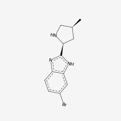 C[C@@H]1CN[C@H](c2nc3ccc(Br)cc3[nH]2)C1